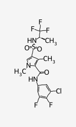 Cc1c(S(=O)(=O)N[C@H](C)C(F)(F)F)cn(C)c1C(=O)Nc1cc(F)c(F)c(Cl)c1